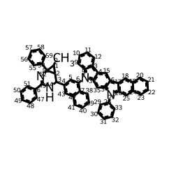 CC1C2C(c3cc(-n4c5ccccc5c5cc6c7cc8ccccc8cc7n(-c7ccccc7)c6cc54)c4ccccc4c3)NC(c3ccccc3)=NC12c1ccccc1